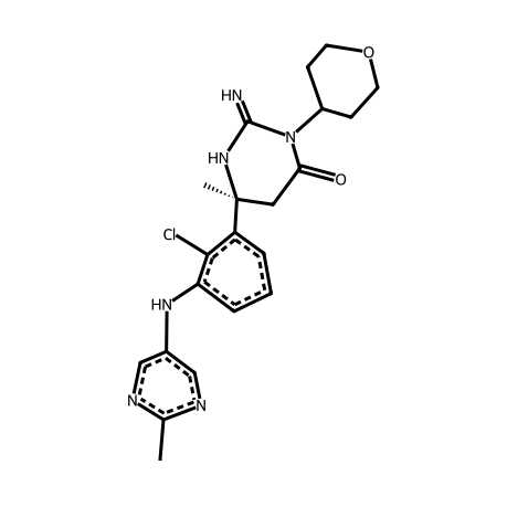 Cc1ncc(Nc2cccc([C@]3(C)CC(=O)N(C4CCOCC4)C(=N)N3)c2Cl)cn1